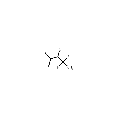 CC(F)(F)C(Cl)C(F)F